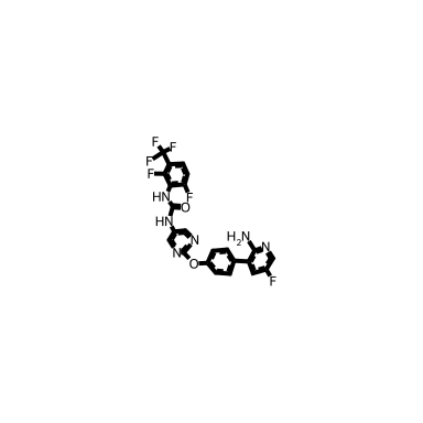 Nc1ncc(F)cc1-c1ccc(Oc2ncc(NC(=O)Nc3c(F)ccc(C(F)(F)F)c3F)cn2)cc1